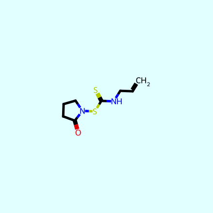 C=CCNC(=S)SN1CCCC1=O